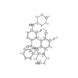 NC(=O)c1ccc(NC2CCOCC2)c(F)c1-c1c(Cl)c(F)cc2c1CC1(c3ccccc3)CNCCN21